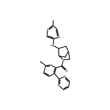 Cc1cnc(NC2CC3CC2N(C(=O)c2nc(C)ccc2-c2ncccn2)C3)cn1